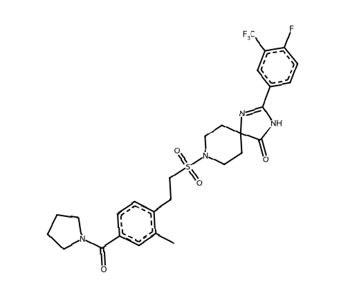 Cc1cc(C(=O)N2CCCC2)ccc1CCS(=O)(=O)N1CCC2(CC1)N=C(c1ccc(F)c(C(F)(F)F)c1)NC2=O